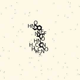 Cc1c(NC(=O)c2cnn(-c3cccc4c(=O)[nH]ccc34)c2C(F)(F)F)cnc(C(N)=O)c1C